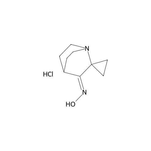 Cl.ON=C1C2CCN(CC2)C12CC2